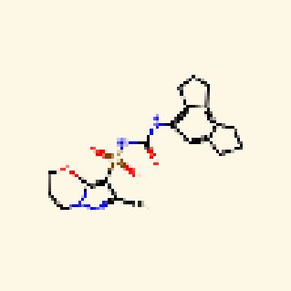 Cc1nn2c(c1S(=O)(=O)NC(=O)Nc1cc3c(c4c1CCC4)CCC3)OCCC2